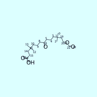 CC(C)(CCCC(=O)CCCC(C)(C)CCC(=O)O)CCOC=O